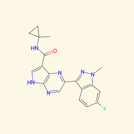 Cn1nc(-c2cnc3[nH]cc(C(=O)NC4(C)CC4)c3n2)c2ccc(F)cc21